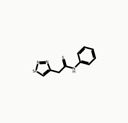 S=C(Cc1c[se]nn1)Nc1ccccc1